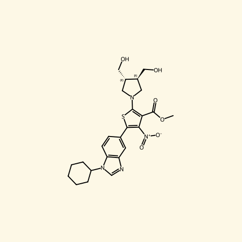 COC(=O)c1c(N2C[C@H](CO)[C@@H](CO)C2)sc(-c2ccc3c(c2)ncn3C2CCCCC2)c1[N+](=O)[O-]